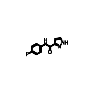 O=C(Nc1ccc(F)cc1)c1cc[nH]n1